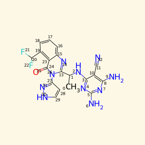 CC(Nc1nc(N)nc(N)c1C#N)c1nc2cccc(C(F)F)c2c(=O)n1-c1cc[nH]n1